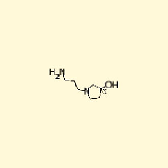 NCCCN1CC[C@H](O)C1